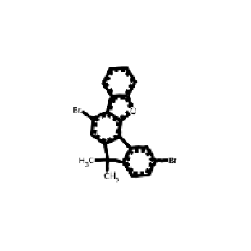 CC1(C)c2ccc(Br)cc2-c2c1cc(Br)c1c2oc2ccccc21